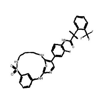 CC(C)(C(=O)Nc1ccc(-c2cnc3nc2NCCCNS(=O)(=O)c2cccc(c2)N3)cc1F)c1ccccc1C(F)(F)F